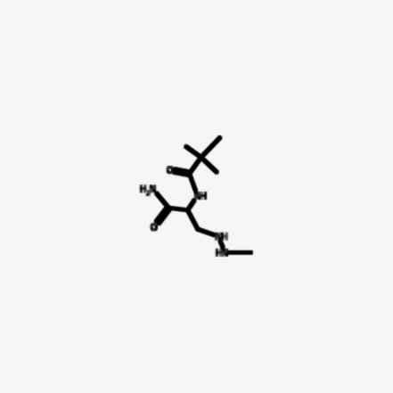 CNNCC(NC(=O)C(C)(C)C)C(N)=O